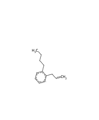 C=CCc1[c]cccc1CCCC